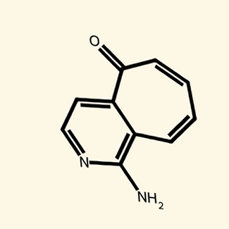 Nc1nccc2c(=O)ccccc12